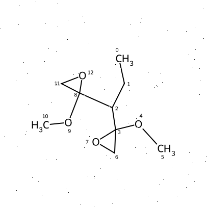 CCC(C1(OC)CO1)C1(OC)CO1